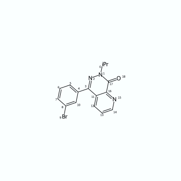 CC(C)n1nc(-c2cccc(Br)c2)c2cccnc2c1=O